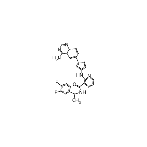 C[C@H](NC(=O)c1cccnc1Nc1ccc(C2=CC3C(N)=NC=NC3C=C2)s1)c1ccc(F)c(F)c1